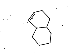 [C]1=CCCC2CCCCC12